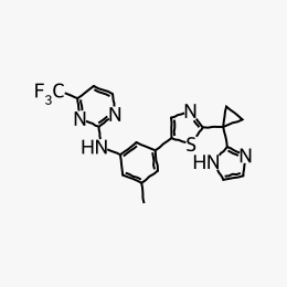 Cc1cc(Nc2nccc(C(F)(F)F)n2)cc(-c2cnc(C3(c4ncc[nH]4)CC3)s2)c1